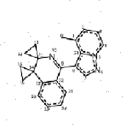 Cc1cccn2ncc(C3=NC4(CC4)C4(CC4)c4ccccc43)c12